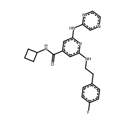 O=C(NC1CCC1)c1cc(NCCc2ccc(F)cc2)nc(Nc2cnccn2)c1